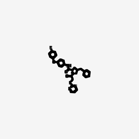 O=C(Nc1ccc(Oc2ccc(F)cc2)cc1)C1CC(Cc2ccccc2)CN1C(=O)CSc1ncccn1